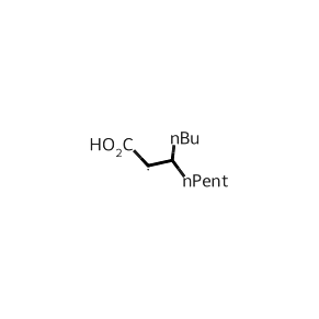 CCCCCC([CH]C(=O)O)CCCC